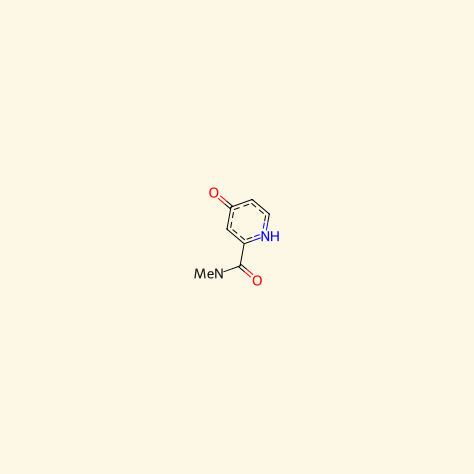 CNC(=O)c1cc(=O)cc[nH]1